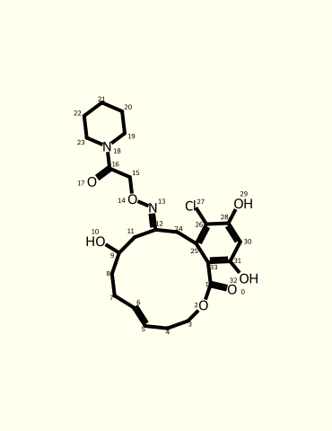 O=C1OCC/C=C/CCC(O)C/C(=N\OCC(=O)N2CCCCC2)Cc2c(Cl)c(O)cc(O)c21